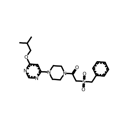 CC(C)COc1cc(N2CCN(C(=O)CS(=O)(=O)Cc3ccccc3)CC2)ncn1